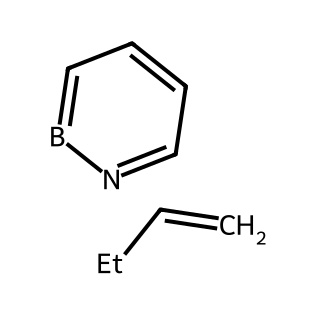 C=CCC.b1ccccn1